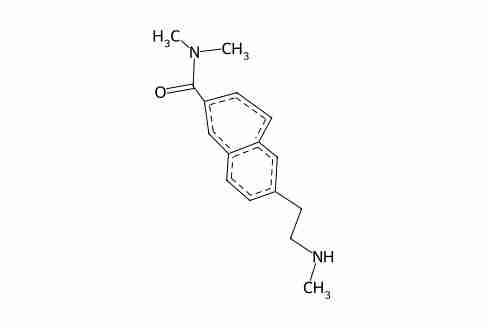 CNCCc1ccc2cc(C(=O)N(C)C)ccc2c1